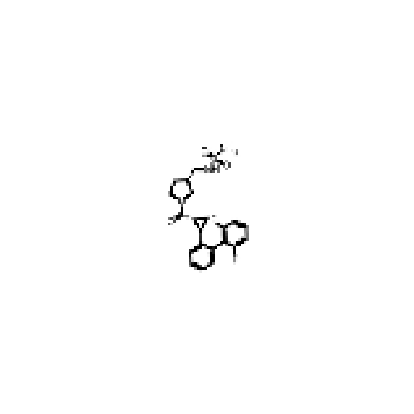 CS(=O)(=O)NC[C@@H]1CCN(C(=O)[C@@H]2C[C@H]2c2ccccc2-c2c(F)cccc2F)C1